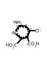 N.O=C(O)c1nccc(Cl)c1C(=O)O